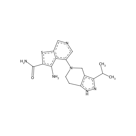 CC(C)c1n[nH]c2c1CN(c1cncc3sc(C(N)=O)c(N)c13)CC2